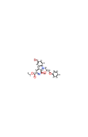 CCOC(=O)c1cc2c3cc(Br)ccc3n(CC(O)COc3ccccc3)c2cn1